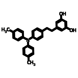 Cc1ccc(N(c2ccc(C)cc2)c2ccc(CCc3cc(O)cc(O)c3)cc2)cc1